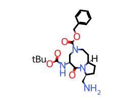 CC(C)(C)OC(=O)N[C@H]1CN(C(=O)OCc2ccccc2)CC[C@H]2CC[C@@H](CN)N2C1=O